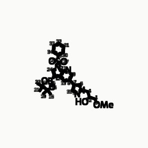 COCC(O)Cn1cc(-c2cnc3c(c2)c(B2OC(C)(C)C(C)(C)O2)cn3S(=O)(=O)c2ccccc2)cn1